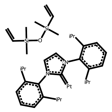 C=C[Si](C)(C)O[Si](C)(C)C=C.CC(C)c1cccc(C(C)C)c1-n1ccn(-c2c(C(C)C)cccc2C(C)C)[c]1=[Pt]